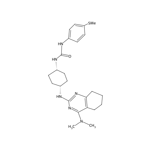 CSc1ccc(NC(=O)N[C@H]2CC[C@@H](Nc3nc4c(c(N(C)C)n3)CCCC4)CC2)cc1